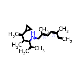 C=C/C(C)=C\C=C(/C)CNC(C(=C)C)C(C)C(=C)C1CC1